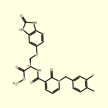 COC(=O)[C@@H](COc1ccc2[nH]c(=O)[nH]c2c1)NC(=O)c1cccn(Cc2ccc(F)c(F)c2)c1=O